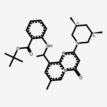 Cc1cc(C(C)Nc2ccccc2C(=O)OC(C)(C)C)c2nc(N3C[C@H](C)C[C@H](C)C3)cc(=O)n2c1